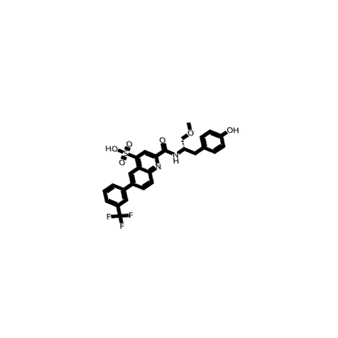 COC[C@H](Cc1ccc(O)cc1)NC(=O)c1cc(S(=O)(=O)O)c2cc(-c3cccc(C(F)(F)F)c3)ccc2n1